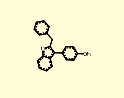 Oc1ccc(-c2c(Cc3ccccc3)oc3ccccc23)cc1